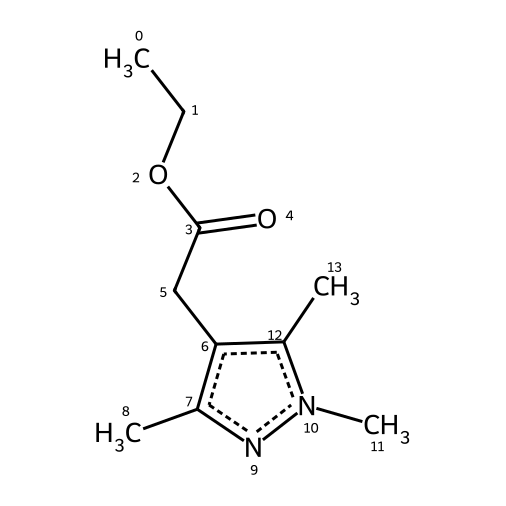 CCOC(=O)Cc1c(C)nn(C)c1C